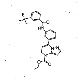 CCOC(=O)N1CC=C(c2cccc(NC(=O)c3cccc(C(F)(F)F)c3)c2)n2nccc21